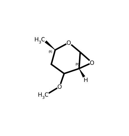 COC1C[C@@H](C)OC2O[C@H]12